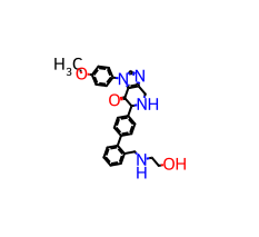 COc1ccc(-n2cnc3c2C(=O)C(c2ccc(-c4ccccc4CNCCO)cc2)NC3)cc1